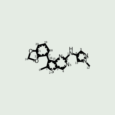 Cc1sc2cnc(Nc3cnn(C)c3)nc2c1-c1cccc2c1OCO2